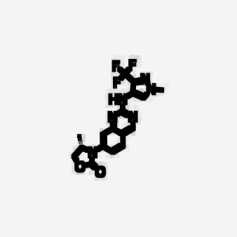 C[C@H]1COC(=O)N1c1ccc2cnc(Nc3cn(C)nc3C(F)(F)F)nc2c1